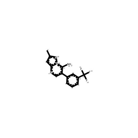 Cc1cc2ncc(-c3cccc(C(F)(F)F)c3)c(N)n2n1